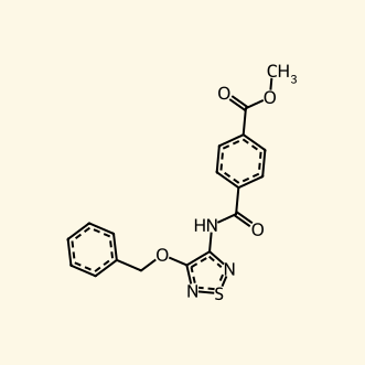 COC(=O)c1ccc(C(=O)Nc2nsnc2OCc2ccccc2)cc1